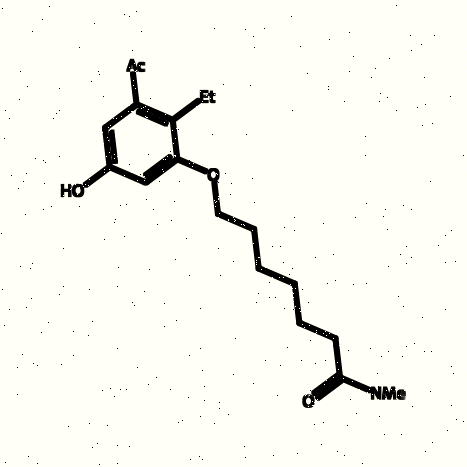 CCc1c(OCCCCCCC(=O)NC)cc(O)cc1C(C)=O